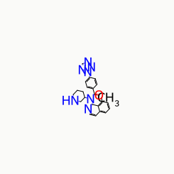 Cc1cccc2ccnc(N(C(=O)c3ccc(-n4ncnn4)cc3)[C@@H]3CCCNC3)c12